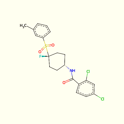 Cc1cccc(S(=O)(=O)[C@]2(F)CC[C@H](NC(=O)c3ccc(Cl)cc3Cl)CC2)c1